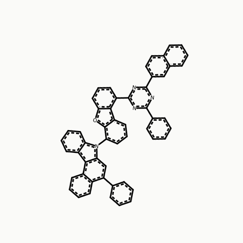 c1ccc(-c2nc(-c3ccc4ccccc4c3)nc(-c3cccc4oc5c(-n6c7ccccc7c7c8ccccc8c(-c8ccccc8)cc76)cccc5c34)n2)cc1